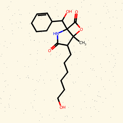 CC12OC(=O)C1(C(O)C1C=CCCC1)NC(=O)C2CCCCCCO